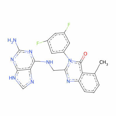 Cc1cccc2nc(CNc3nc(N)nc4[nH]cnc34)n(-c3cc(F)cc(F)c3)c(=O)c12